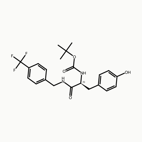 CC(C)(C)OC(=O)N[C@@H](Cc1ccc(O)cc1)C(=O)NCc1ccc(C(F)(F)F)cc1